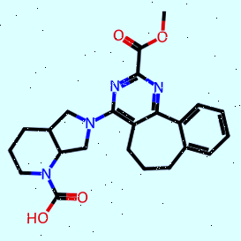 COC(=O)c1nc2c(c(N3CC4CCCN(C(=O)O)C4C3)n1)CCCc1ccccc1-2